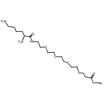 CC(C)(C)OC(=O)CCOCCOCCOCCOCCNC(=O)C(N)CCCCN